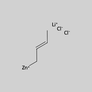 CC=C[CH2][Zn+].[Cl-].[Cl-].[Li+]